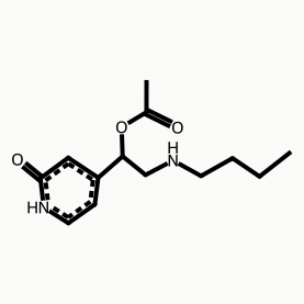 CCCCNCC(OC(C)=O)c1cc[nH]c(=O)c1